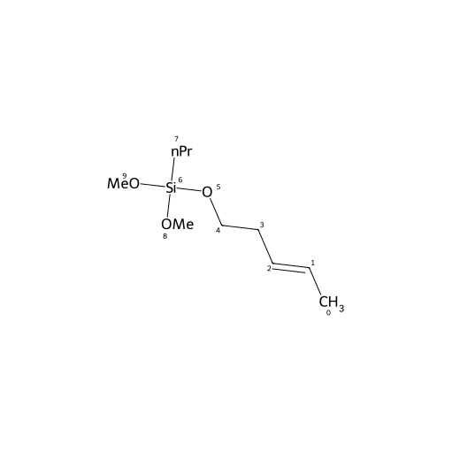 CC=CCCO[Si](CCC)(OC)OC